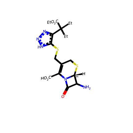 CCOC(=O)C(CC)(CC)c1nn[nH]c1SCC1=C(C(=O)O)N2C(=O)C(N)[C@H]2SC1